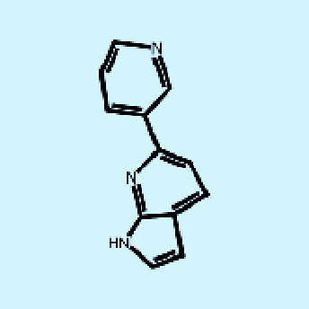 c1cncc(-c2ccc3cc[nH]c3n2)c1